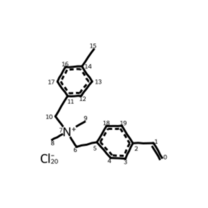 C=Cc1ccc(C[N+](C)(C)Cc2ccc(C)cc2)cc1.[Cl-]